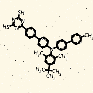 Cc1ccc(-c2ccc(N(c3ccc(-c4ccc(-c5nc(S)nc(S)n5)cc4)cc3)c3c(C)cc(C(C)(C)C)cc3C)cc2)cc1